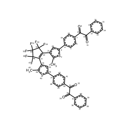 Cc1sc(-c2ccc(C(=O)C(=O)c3ccccc3)cc2)cc1C1=C(c2cc(-c3ccc(C(=O)C(=O)c4ccccc4)cc3)sc2C)C(F)(F)C(F)(F)C1(F)F